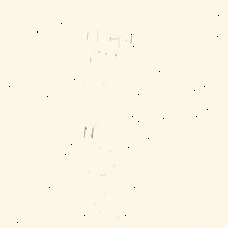 CCCCCCCC(=O)Oc1ccc(C=Nc2ccc3c(ccc4ccccc43)c2)cc1